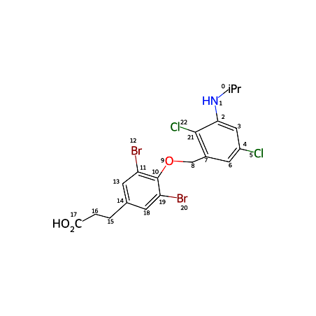 CC(C)Nc1cc(Cl)cc(COc2c(Br)cc(CCC(=O)O)cc2Br)c1Cl